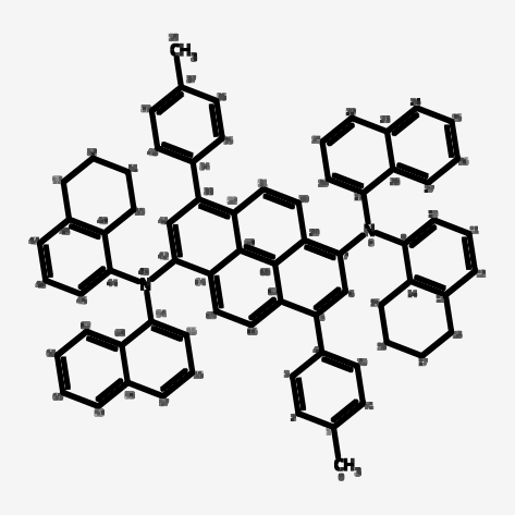 Cc1ccc(-c2cc(N(c3cccc4c3CCCC4)c3cccc4ccccc34)c3ccc4c(-c5ccc(C)cc5)cc(N(c5cccc6c5CCCC6)c5cccc6ccccc56)c5ccc2c3c45)cc1